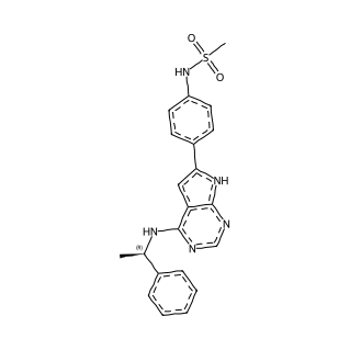 C[C@@H](Nc1ncnc2[nH]c(-c3ccc(NS(C)(=O)=O)cc3)cc12)c1ccccc1